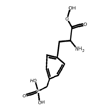 NC(Cc1ccc(CP(=O)(O)O)cc1)C(=O)OO